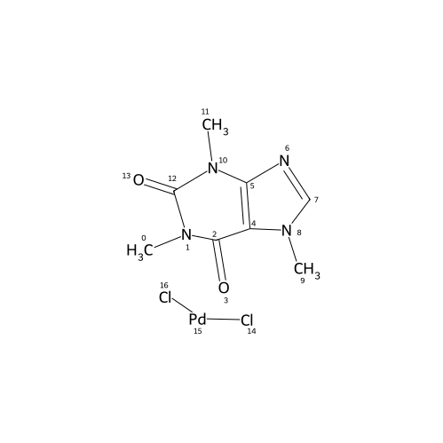 Cn1c(=O)c2c(ncn2C)n(C)c1=O.[Cl][Pd][Cl]